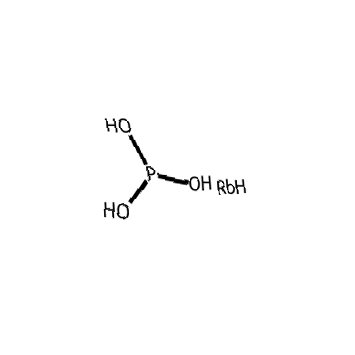 OP(O)O.[RbH]